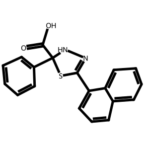 O=C(O)C1(c2ccccc2)NN=C(c2cccc3ccccc23)S1